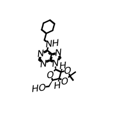 CC1(C)O[C@@H]2[C@H](O1)[C@@H](CO)O[C@H]2n1cnc2c(NCC3CCCCC3)ncnc21